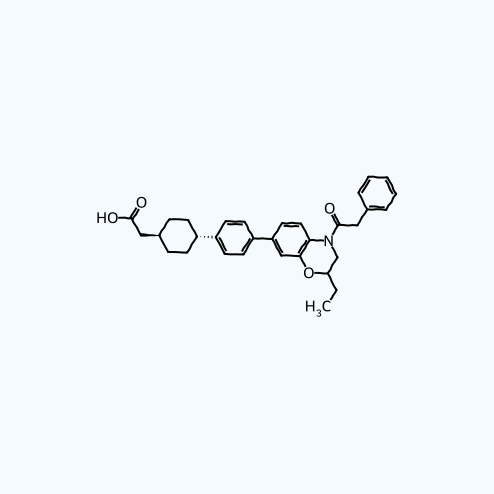 CCC1CN(C(=O)Cc2ccccc2)c2ccc(-c3ccc([C@H]4CC[C@H](CC(=O)O)CC4)cc3)cc2O1